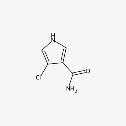 NC(=O)c1c[nH]cc1Cl